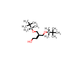 CC(C)(C)[Si](C)(C)OCC(=CCO)CO[Si](C)(C)C(C)(C)C